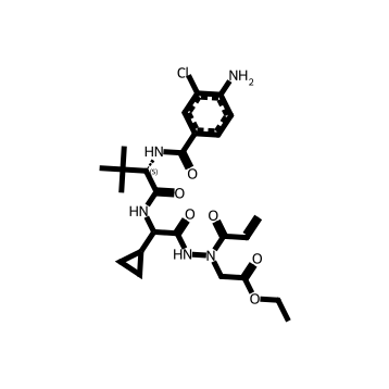 C=CC(=O)N(CC(=O)OCC)NC(=O)C(NC(=O)[C@@H](NC(=O)c1ccc(N)c(Cl)c1)C(C)(C)C)C1CC1